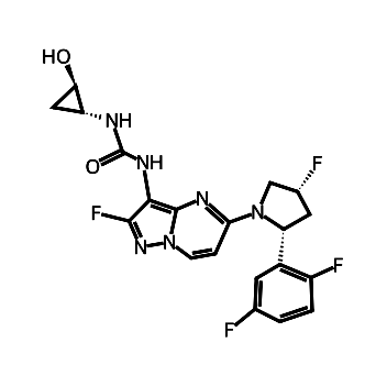 O=C(Nc1c(F)nn2ccc(N3C[C@H](F)C[C@@H]3c3cc(F)ccc3F)nc12)N[C@@H]1C[C@H]1O